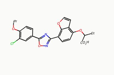 CCC(Oc1ccc(-c2noc(-c3ccc(OC(C)C)c(Cl)c3)n2)c2occc12)C(=O)O